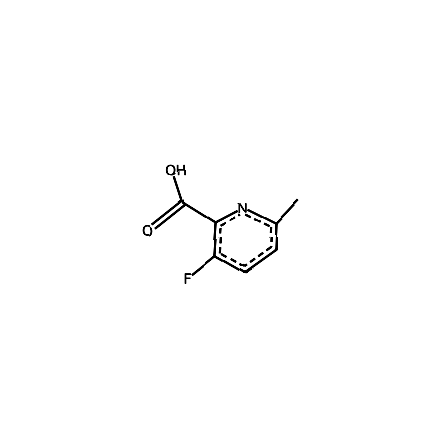 Cc1ccc(F)c(C(=O)O)n1